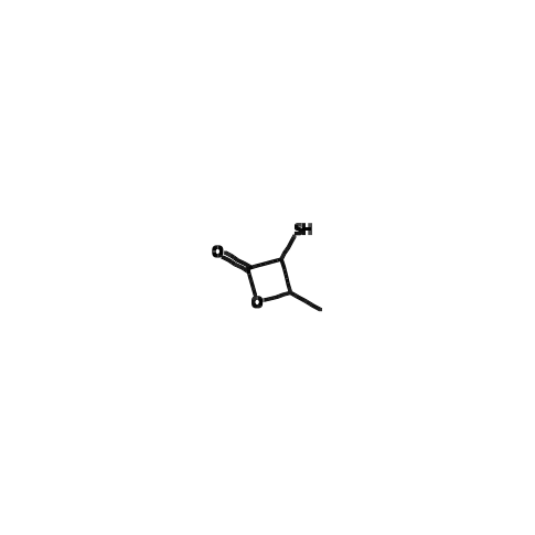 CC1OC(=O)C1S